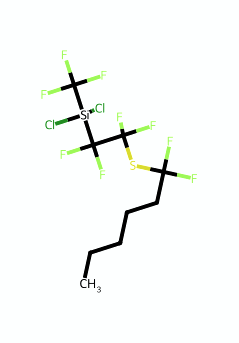 CCCCCC(F)(F)SC(F)(F)C(F)(F)[Si](Cl)(Cl)C(F)(F)F